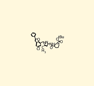 Cc1cc(NC(=O)C2CCCN(C(=O)OC(C)(C)C)C2)nn1Cc1cc(Cl)cc2cc(-c3ccccc3)oc12